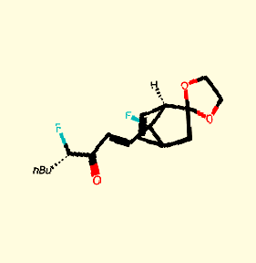 CCCC[C@H](F)C(=O)C=C[C@@]1(F)C2C=C[C@H]1C1(C2)OCCO1